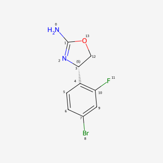 NC1=N[C@@H](c2ccc(Br)cc2F)CO1